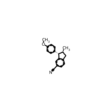 COc1ccc([C@H]2c3cc(C#N)ccc3C[C@@H]2C)cc1